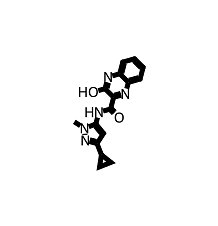 Cn1nc(C2CC2)cc1NC(=O)c1nc2ccccc2nc1O